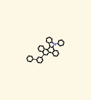 c1ccc(-c2cccc(-c3cc4c5ccccc5c5c(c6ccccc6n5-c5ccccc5)c4c4ccccc34)c2)cc1